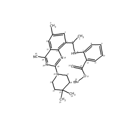 Cc1cc(C(C)Nc2ccccc2C(=O)OC(C)(C)C)c2nc(N3CCC(C)(C)CC3)nc(C#N)c2c1